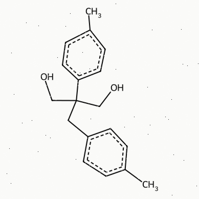 Cc1ccc(CC(CO)(CO)c2ccc(C)cc2)cc1